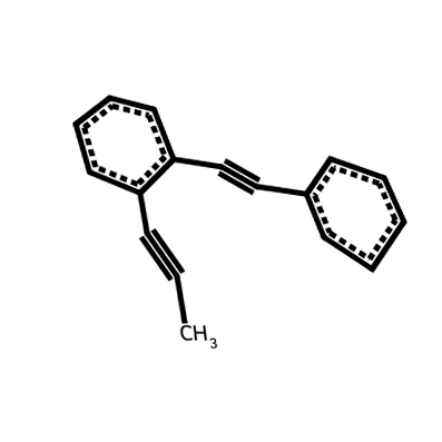 CC#Cc1ccccc1C#Cc1ccccc1